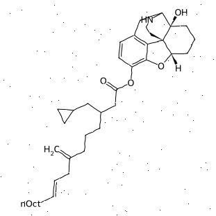 C=C(C/C=C/CCCCCCCC)CCCC(CC(=O)Oc1ccc2c3c1O[C@H]1CCC[C@@]4(O)C(C2)NCC[C@]314)CC1CC1